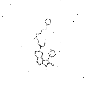 C=C/C(=C\C=C(/C)OCCCN1CCCC1)c1ccc2ncc3c(c2c1)n(C1CCCOC1)c(=O)n3C